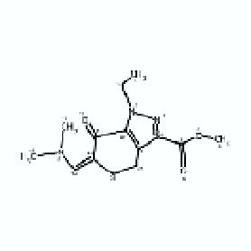 CCn1nc(C(=O)OC)c2c1C(=O)C(=CN(C)C)CC2